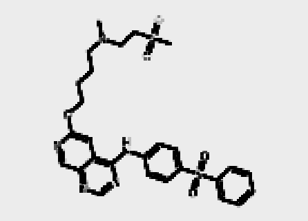 CN(CCCCOc1cc2c(Nc3ccc(S(=O)(=O)c4ccccc4)cc3)ncnc2cn1)CCS(C)(=O)=O